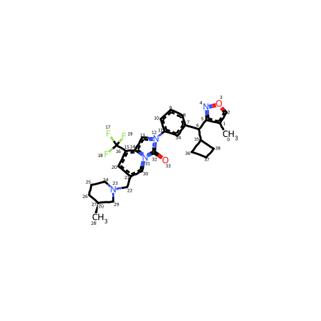 Cc1conc1C(c1cccc(-n2cc3c(C(F)(F)F)cc(CN4CCC[C@H](C)C4)cn3c2=O)c1)C1CCC1